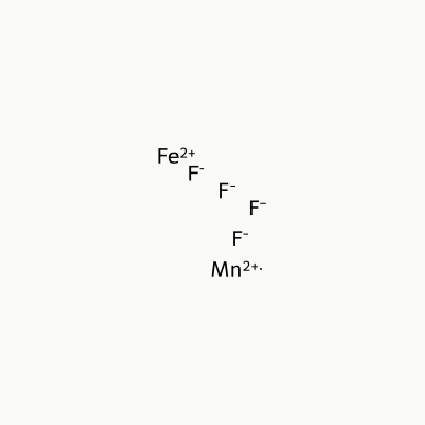 [F-].[F-].[F-].[F-].[Fe+2].[Mn+2]